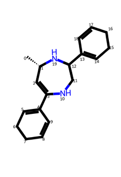 C[C@H]1C=C(C2=CCCC=C2)NCC(C2=CCCC=C2)N1